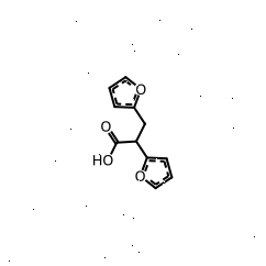 O=C(O)C(Cc1ccco1)c1ccco1